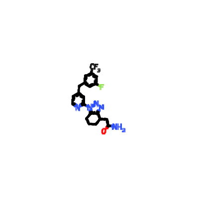 NC(=O)CC1CCCc2c1nnn2-c1cc(Cc2cc(F)cc(C(F)(F)F)c2)ccn1